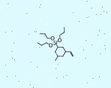 C=CC1CC(C)CC([Si](OCCC)(OCCC)OCCC)C1